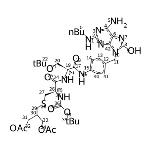 CCCCNc1nc(N)c2nc(O)n(Cc3ccc(NC(=O)[C@H](COC(C)(C)C)NC(=O)[C@H](CSCC(COC(C)=O)COC(C)=O)NC(=O)OC(C)(C)C)cc3)c2n1